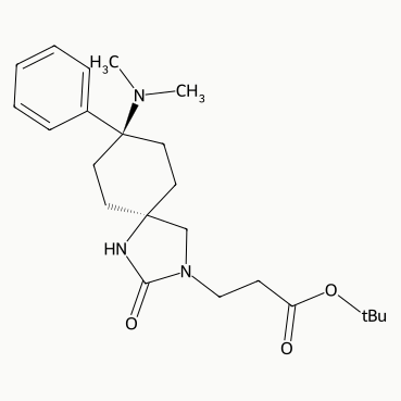 CN(C)[C@]1(c2ccccc2)CC[C@]2(CC1)CN(CCC(=O)OC(C)(C)C)C(=O)N2